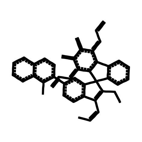 C=C/C=c1/c2c(/c(=C/C=C)c(=C)c1=C)C1(C(CC)=C(/C=C\C)c3ccc(-c4ccc5ccccc5c4C)cc31)c1ccccc1-2